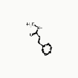 [CH2]NC(=O)CCc1ccccc1